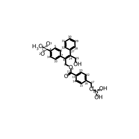 CS(=O)(=O)c1ccc(/C(COC(=O)c2ccc(CON(O)O)cc2)=C(/CO)c2ccccc2)cc1